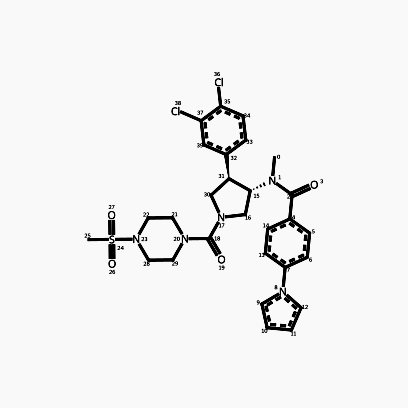 CN(C(=O)c1ccc(-n2cccc2)cc1)[C@@H]1CN(C(=O)N2CCN(S(C)(=O)=O)CC2)C[C@H]1c1ccc(Cl)c(Cl)c1